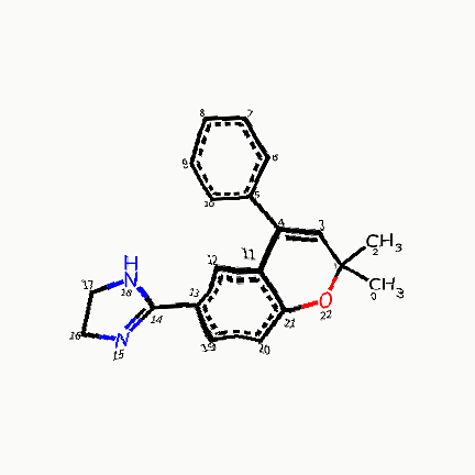 CC1(C)C=C(c2ccccc2)c2cc(C3=NCCN3)ccc2O1